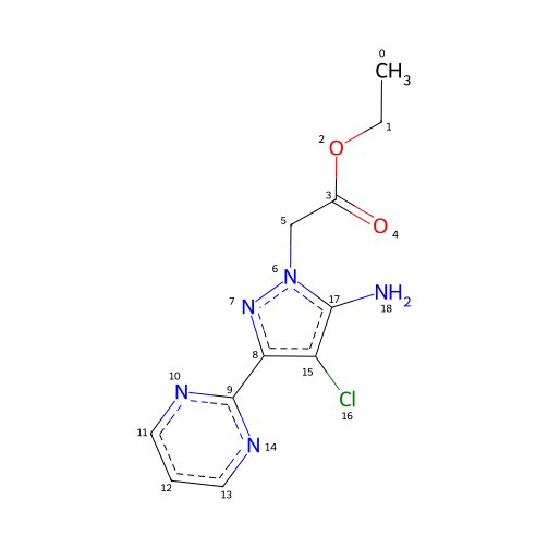 CCOC(=O)Cn1nc(-c2ncccn2)c(Cl)c1N